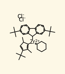 CC1=[C]([Zr+2](=[C]2CCCCC2)[CH]2c3cc(C(C)(C)C)ccc3-c3ccc(C(C)(C)C)cc32)C(C)C=C1C(C)(C)C.[Cl-].[Cl-]